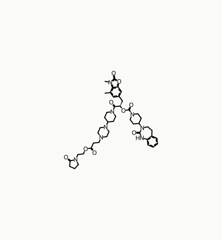 Cc1cc(C[C@@H](OC(=O)N2CCC(N3CCc4ccccc4NC3=O)CC2)C(=O)N2CCC(N3CCN(CCC(=O)OCCN4CCCC4=O)CC3)CC2)cc2oc(=O)n(C)c12